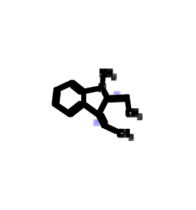 C/C=c1\c(=C/C)n(N)c2ccccc12